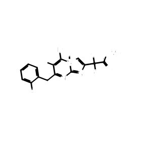 COC(=O)C(C)(C)C1=C[N+]2([O-])C(=N1)N=C(Cc1ccccc1F)C(C)=C2Br